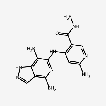 BNC(=O)c1nnc(N)cc1Nc1nc(B)c2cn[nH]c2c1B